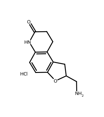 Cl.NCC1Cc2c(ccc3c2CCC(=O)N3)O1